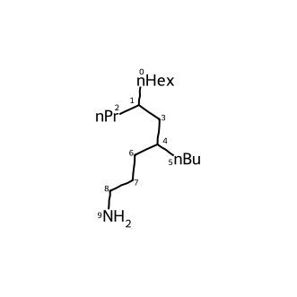 CCCCCCC(CCC)CC(CCCC)CCCN